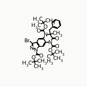 CC(C)(C)OC(=O)N1C(=O)C(C)(Cc2ccccc2)N(C(=O)OC(C)(C)C)c2cc3c(Br)nn(C(=O)OC(C)(C)C)c3cc21